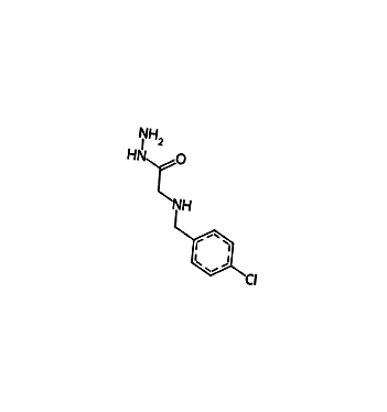 NNC(=O)CNCc1ccc(Cl)cc1